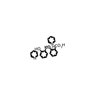 O=C(O)c1ccccc1O.O=C(O)c1ccccc1O.c1ccncc1.c1ccncc1